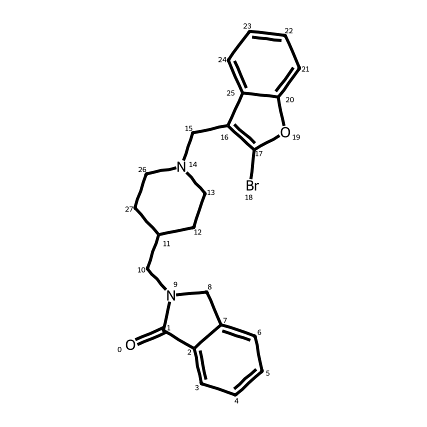 O=C1c2ccccc2CN1CC1CCN(Cc2c(Br)oc3ccccc23)CC1